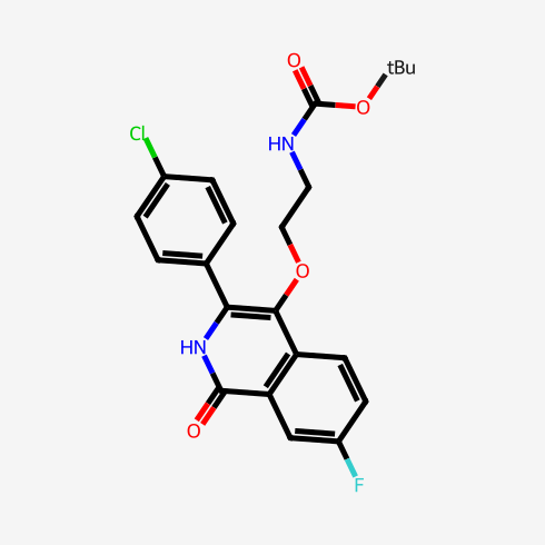 CC(C)(C)OC(=O)NCCOc1c(-c2ccc(Cl)cc2)[nH]c(=O)c2cc(F)ccc12